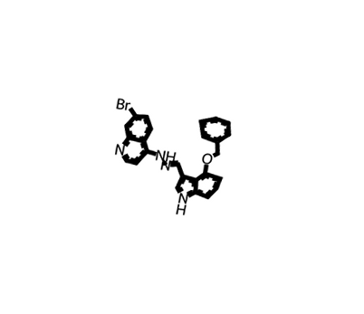 Brc1ccc2c(NN=Cc3c[nH]c4cccc(OCc5ccccc5)c34)ccnc2c1